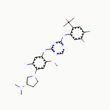 COc1cc(N2CC[C@@H](N(C)C)C2)c(N)cc1Nc1ncnc(Nc2cc(Cl)c(F)cc2C(C)(C)O)n1